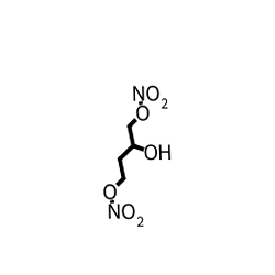 O=[N+]([O-])OCCC(O)CO[N+](=O)[O-]